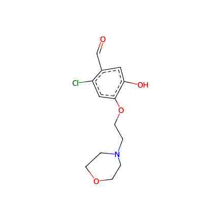 O=Cc1cc(O)c(OCCN2CCOCC2)cc1Cl